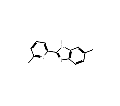 Cc1ccc2nc(-c3cccc(C)n3)[nH]c2c1